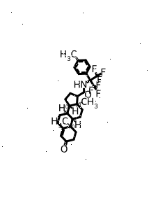 Cc1ccc(C(NC(=O)C2CC[C@H]3[C@@H]4CCC5=CC(=O)CC[C@]5(C)[C@@H]4CC[C@]23C)(C(F)(F)F)C(F)(F)F)cc1